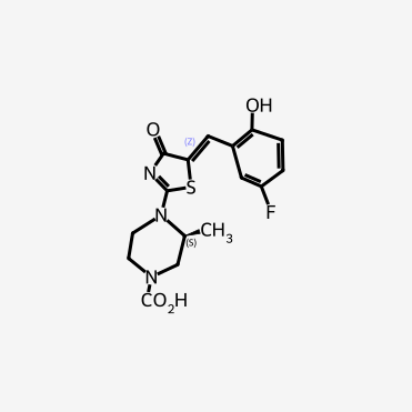 C[C@H]1CN(C(=O)O)CCN1C1=NC(=O)/C(=C/c2cc(F)ccc2O)S1